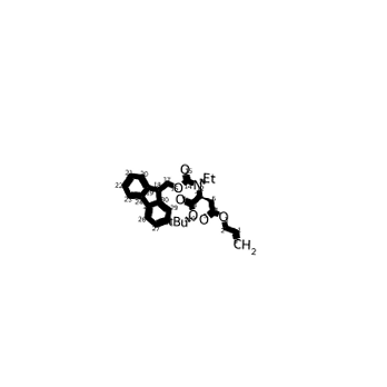 C=CCOC(=O)C[C@@H](C(=O)OC(C)(C)C)N(CC)C(=O)OCC1c2ccccc2-c2ccccc21